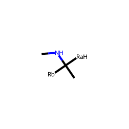 CN[C](C)([Rb])[RaH]